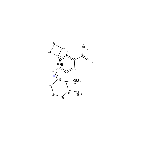 COC1(c2ccnc(C(N)=O)c2)/C(=C\NC2CCC2)CCCC1C